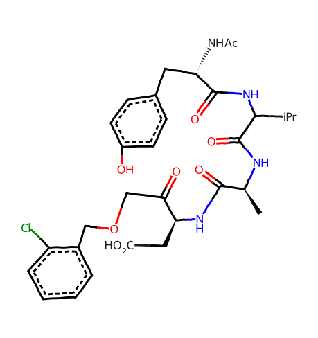 CC(=O)N[C@@H](Cc1ccc(O)cc1)C(=O)NC(C(=O)N[C@@H](C)C(=O)N[C@@H](CC(=O)O)C(=O)COCc1ccccc1Cl)C(C)C